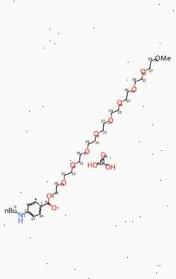 CCCCNc1ccc(C(=O)OCCOCCOCCOCCOCCOCCOCCOCCOCCOC)cc1.O=[Si](O)O